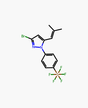 CC(C)=Cc1cc(Br)nn1-c1ccc(S(F)(F)(F)(F)F)cc1